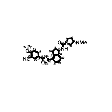 CN[C@H]1CCN(C(=O)N[C@H]2CCc3c(-c4noc(-c5ccc(OC(C)C)c(C#N)c5)n4)cccc32)C1